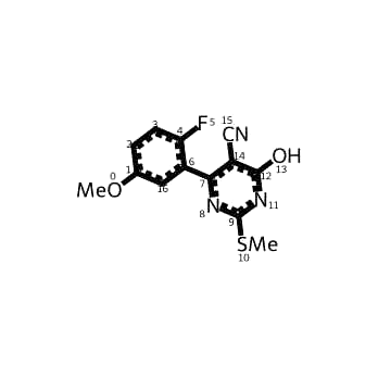 COc1ccc(F)c(-c2nc(SC)nc(O)c2C#N)c1